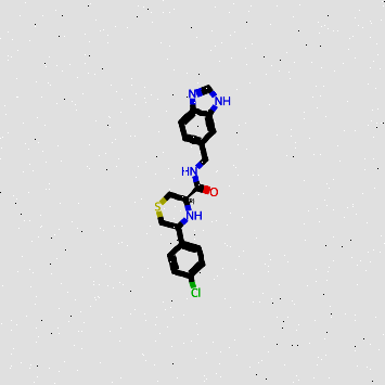 O=C(NCc1ccc2nc[nH]c2c1)[C@@H]1[CH]SCC(c2ccc(Cl)cc2)N1